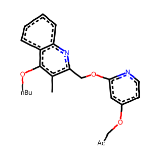 CCCCOc1c(C)c(COc2cc(OCC(C)=O)ccn2)nc2ccccc12